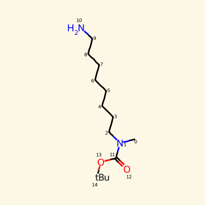 CN(CCCCCCCCN)C(=O)OC(C)(C)C